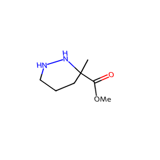 COC(=O)C1(C)CCCNN1